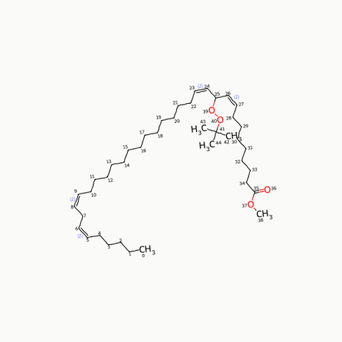 CCCCC/C=C\C/C=C\CCCCCCCCCCCCC/C=C\C(/C=C\CCCCCCCC(=O)OC)OOC(C)(C)C